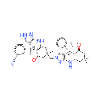 CC[C@]1(c2ccccc2)C2=C(CC(C)(C)CC2=O)Nc2nn(CC3(C)CC(=O)C4=C(C3)Nc3n[nH]cc3[C@@]4(C)c3cccc(C#N)c3)cc21